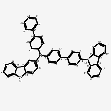 C1=CC(N(c2ccc(-c3ccc(-n4c5ccccc5c5ccccc54)cc3)cc2)c2ccc3oc4ccccc4c3c2)CC=C1c1ccccc1